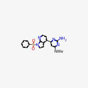 CNc1cc(-c2ccnc3c2ccn3S(=O)(=O)c2ccccc2)nc(N)n1